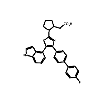 O=C(O)CC1CCCN1c1nc(-c2ccc(-c3ccc(F)cc3)cc2)c(-c2cccc3[nH]ccc23)s1